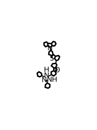 c1ccc(C2=NC(c3ccccc3)NC(c3ccc4oc5cc(-c6cccc7c6sc6ccc(-n8c9ccccc9c9ccccc98)cc67)ccc5c4c3)N2)cc1